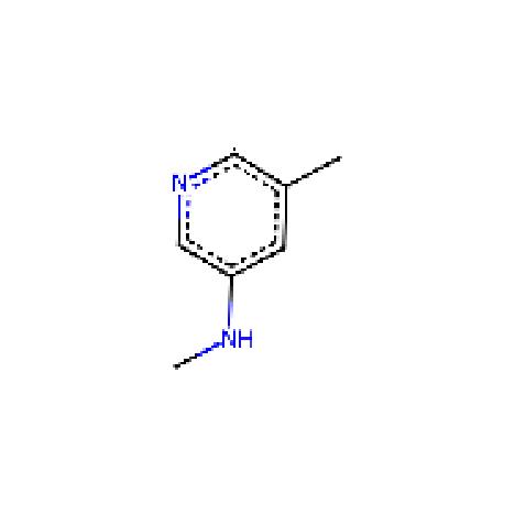 CNc1cn[c]c(C)c1